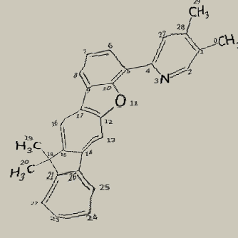 Cc1cnc(-c2cccc3c2oc2cc4c(cc23)C(C)(C)c2ccccc2-4)cc1C